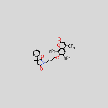 CCCc1cc2c(C(F)(F)F)cc(=O)oc2c(CCC)c1OCCCCN1C(=O)CC(C)(c2ccccc2)C1=O